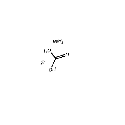 O=C(O)O.[BaH2].[Zr]